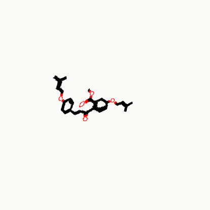 COC(=O)c1cc(OCC=C(C)C)ccc1C(=O)C=Cc1ccc(OCC=C(C)C)cc1